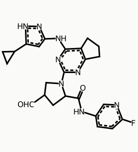 O=CC1CC(C(=O)Nc2ccc(F)nc2)N(c2nc3c(c(Nc4cc(C5CC5)[nH]n4)n2)CCC3)C1